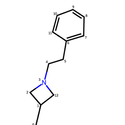 CC1CN(CCc2ccccc2)C1